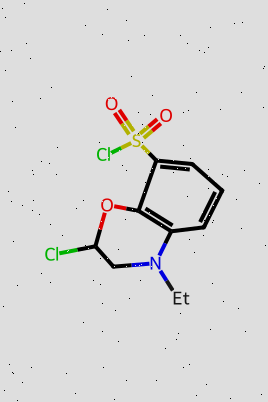 CCN1CC(Cl)Oc2c1cccc2S(=O)(=O)Cl